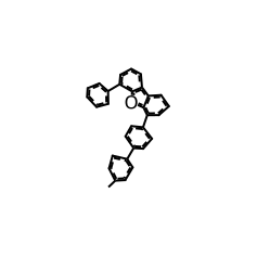 Cc1ccc(-c2ccc(-c3cccc4c3oc3c(-c5ccccc5)cccc34)cc2)cc1